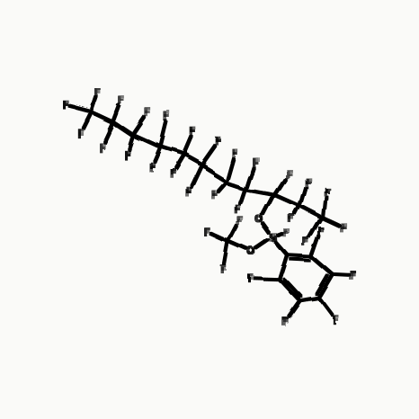 Fc1c(F)c(F)c([Si](F)(OC(F)(F)F)OC(F)(C(F)(F)C(F)(F)F)C(F)(F)C(F)(F)C(F)(F)C(F)(F)C(F)(F)C(F)(F)C(F)(F)C(F)(F)F)c(F)c1F